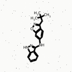 CC(C)(C)Cc1noc2cc(Nc3n[nH]c4ccccc34)ccc12